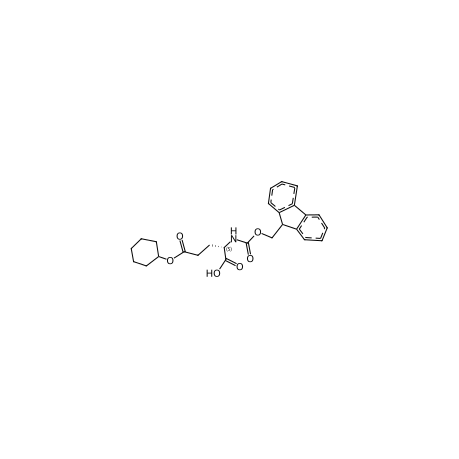 O=C(CC[C@H](NC(=O)OCC1c2ccccc2-c2ccccc21)C(=O)O)OC1CCCCC1